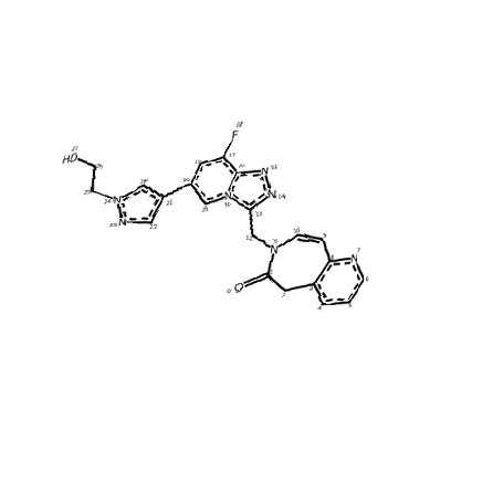 O=C1Cc2cccnc2C=CN1Cc1nnc2c(F)cc(-c3cnn(CCO)c3)cn12